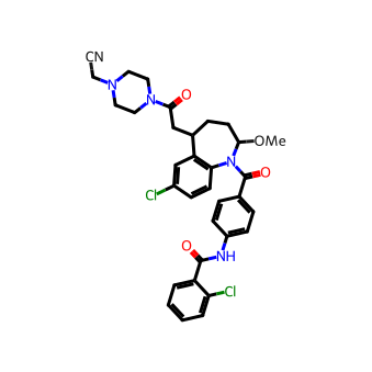 COC1CCC(CC(=O)N2CCN(CC#N)CC2)c2cc(Cl)ccc2N1C(=O)c1ccc(NC(=O)c2ccccc2Cl)cc1